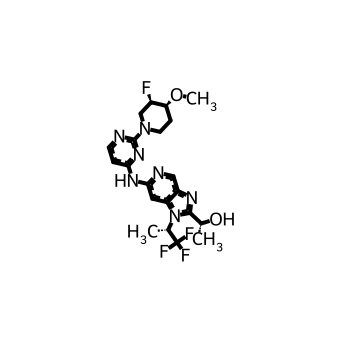 CO[C@H]1CCN(c2nccc(Nc3cc4c(cn3)nc([C@@H](C)O)n4[C@@H](C)C(F)(F)F)n2)C[C@H]1F